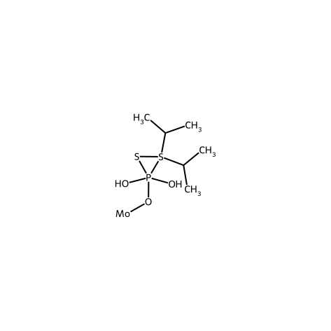 CC(C)S1(C(C)C)SP1(O)(O)[O][Mo]